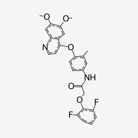 COc1cc2nccc(Oc3ccc(NC(=O)COc4c(F)cccc4F)cc3C)c2cc1OC